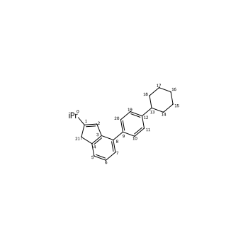 CC(C)C1=Cc2c(cccc2-c2ccc(C3CCCCC3)cc2)[CH]1